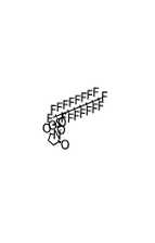 O=C1CCC(=O)N1OS(=O)(=O)C(F)(F)C(F)(F)C(F)(F)C(F)(F)C(F)(F)C(F)(F)C(F)(F)C(F)(F)F